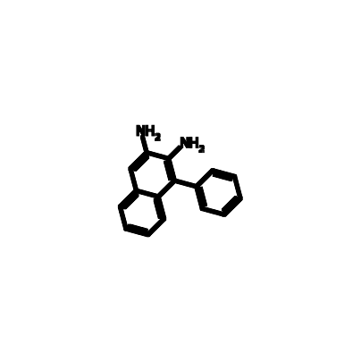 Nc1cc2ccccc2c(-c2ccccc2)c1N